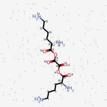 NCCCC[C@H](N)C(=O)OC(=O)C(=O)OC(=O)[C@@H](N)CCCCN